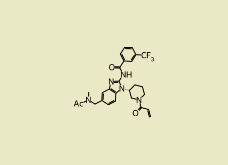 C=CC(=O)N1CCC[C@@H](n2c(NC(=O)c3cccc(C(F)(F)F)c3)nc3cc(CN(C)C(C)=O)ccc32)C1